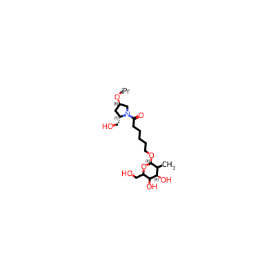 CC(C)O[C@@H]1C[C@@H](CO)N(C(=O)CCCCCO[C@@H]2OC(CO)C(O)[C@H](O)C2C)C1